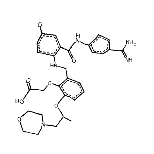 CC(CN1CCOCC1)Oc1cccc(CNc2ccc(Cl)cc2C(=O)Nc2ccc(C(=N)N)cc2)c1OCC(=O)O